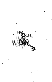 Cc1cc(O)cc(C)c1CC(NC(=O)OC(C)(C)C)C(=O)N[C@H](C)C(=O)NCCCc1cccs1